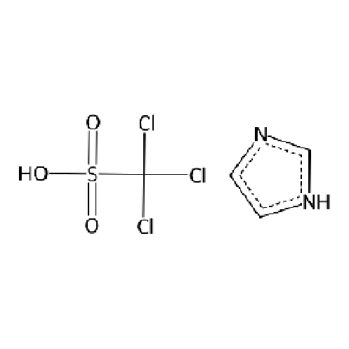 O=S(=O)(O)C(Cl)(Cl)Cl.c1c[nH]cn1